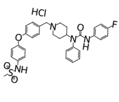 CS(=O)(=O)Nc1ccc(Oc2ccc(CN3CCC(N(C(=O)Nc4ccc(F)cc4)c4ccccc4)CC3)cc2)cc1.Cl